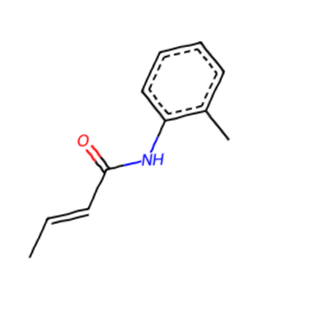 CC=CC(=O)Nc1ccccc1C